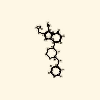 CCc1nn2c(C3CCCN(Cc4ccccc4)C3)ccnc2c1Br